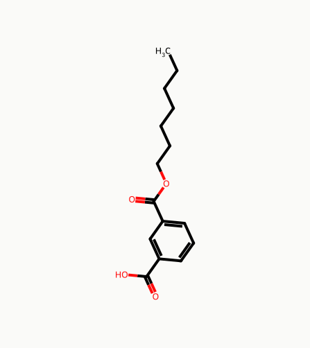 CCCCCCCOC(=O)c1cccc(C(=O)O)c1